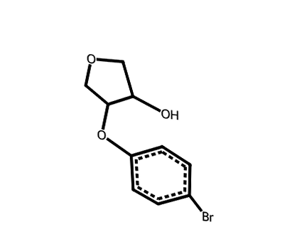 OC1COCC1Oc1ccc(Br)cc1